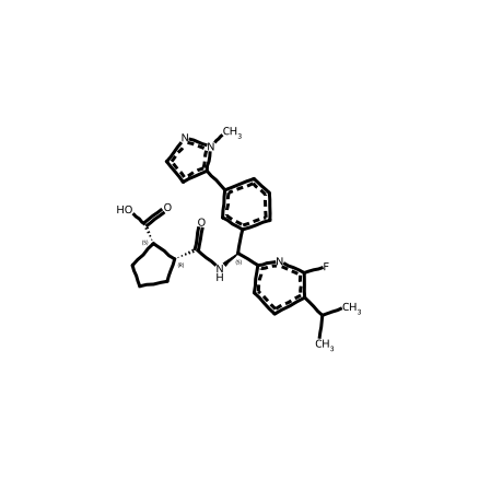 CC(C)c1ccc([C@@H](NC(=O)[C@@H]2CCC[C@@H]2C(=O)O)c2cccc(-c3ccnn3C)c2)nc1F